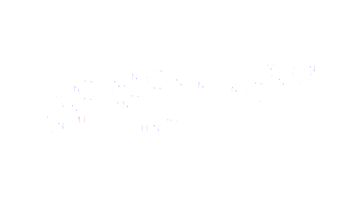 Cc1cc(N2C(=O)c3ccc(N4CCC(N5CCN(c6ccc(Nc7nc(-c8ccnc(N9CCn%10c(cc%11c%10CC(C)(C)C%11)C9=O)c8CO)cn(C)c7=O)cc6C=CC(N)=O)[C@@H](C)C5)C[C@H]4C)cc3C2=O)ccn1